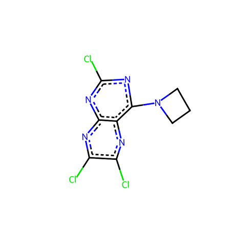 Clc1nc(N2CCC2)c2nc(Cl)c(Cl)nc2n1